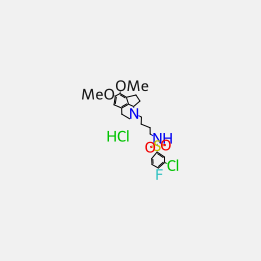 COc1cc2c3c(c1OC)CCC3N(CCCCNS(=O)(=O)c1ccc(F)c(Cl)c1)CC2.Cl